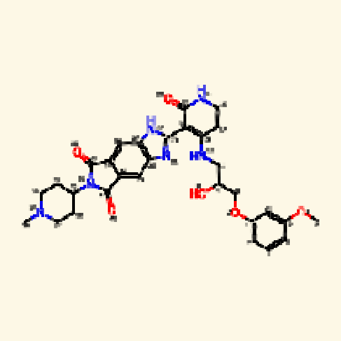 COc1cccc(OCC(O)CNc2cc[nH]c(=O)c2-c2nc3cc4c(cc3[nH]2)C(=O)N(C2CCN(C)CC2)C4=O)c1